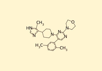 Cc1ccc(C)c(-c2cnc(N3CCOCC3)nc2N2CCC(c3nc[nH]c3C)CC2)c1